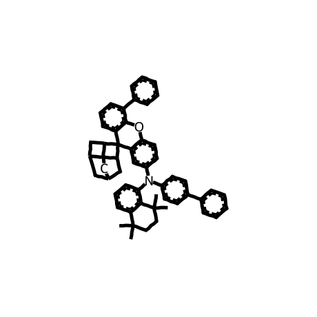 CC1(C)CCC(C)(C)c2c(N(c3ccc(-c4ccccc4)cc3)c3ccc4c(c3)C3(c5cccc(-c6ccccc6)c5O4)C4CC5CC6CC3C64C5)cccc21